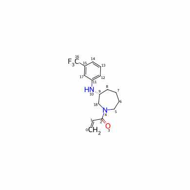 C=CC(=O)N1CCCC[C@@H](Nc2cccc(C(F)(F)F)c2)C1